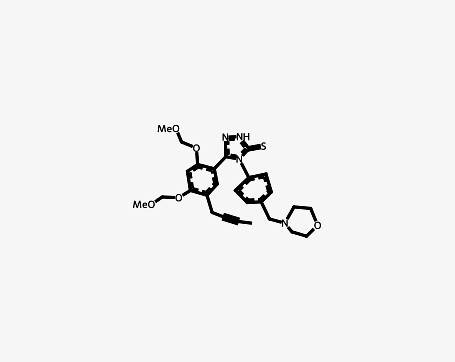 CC#CCc1cc(-c2n[nH]c(=S)n2-c2ccc(CN3CCOCC3)cc2)c(OCOC)cc1OCOC